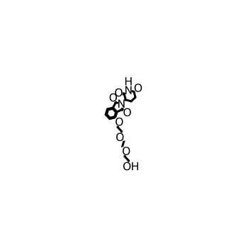 O=C1CCC(N2C(=O)c3cccc(OCCOCCOCCO)c3C2=O)C(=O)N1